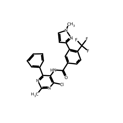 Cc1nc(Cl)c(NC(=O)c2ccc(C(F)(F)F)c(-c3ccn(C)n3)c2)c(-c2ccccc2)n1